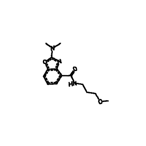 COCCCNC(=O)c1cccc2oc(N(C)C)nc12